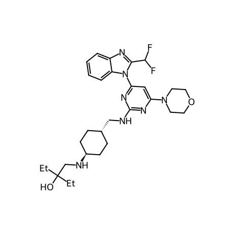 CCC(O)(CC)CN[C@H]1CC[C@H](CNc2nc(N3CCOCC3)cc(-n3c(C(F)F)nc4ccccc43)n2)CC1